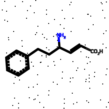 NC(C=CC(=O)O)CCc1ccccc1